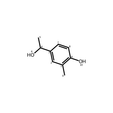 Cc1cc(C(C)O)ccc1O